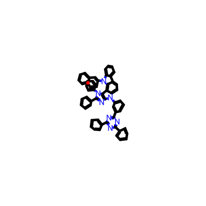 c1ccc(-c2nc(-c3ccccc3)nc(-c3cccc(-n4c5ccc6c7ccccc7n(-c7ccc8ccccc8c7)c6c5c5c4nc(-c4ccccc4)n5-c4ccccc4)c3)n2)cc1